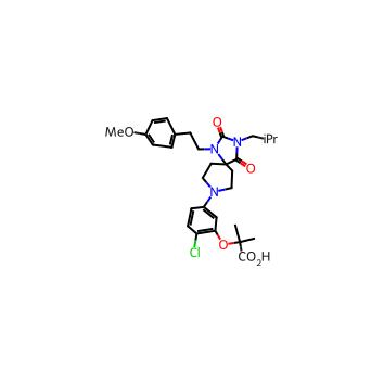 COc1ccc(CCN2C(=O)N(CC(C)C)C(=O)C23CCN(c2ccc(Cl)c(OC(C)(C)C(=O)O)c2)CC3)cc1